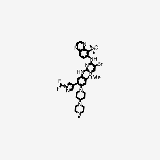 COc1cc(N2CCC(N3CCN(C)CC3)CC2)c(-c2cnn(C(F)F)c2)cc1Nc1ncc(Br)c(Nc2ccc3nccnc3c2P(C)(C)=O)n1